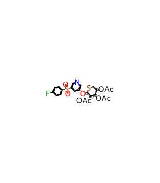 CC(=O)O[C@@H]1[C@@H](OC(C)=O)[C@@H](Oc2cncc(S(=O)(=O)c3ccc(F)cc3)c2)SC[C@H]1OC(C)=O